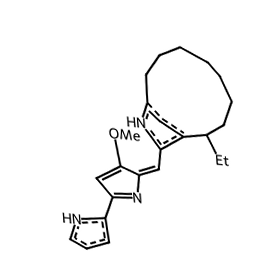 CCC1CCCCCCCc2cc1c(/C=C1/N=C(c3ccc[nH]3)C=C1OC)[nH]2